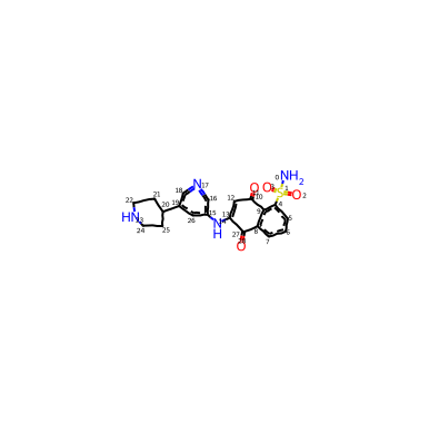 NS(=O)(=O)c1cccc2c1C(=O)C=C(Nc1cncc(C3CCNCC3)c1)C2=O